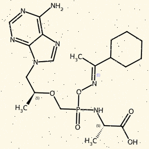 C/C(=N\OP(=O)(CO[C@@H](C)Cn1cnc2c(N)ncnc21)N[C@@H](C)C(=O)O)C1CCCCC1